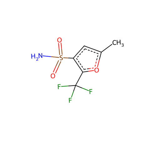 Cc1cc(S(N)(=O)=O)c(C(F)(F)F)o1